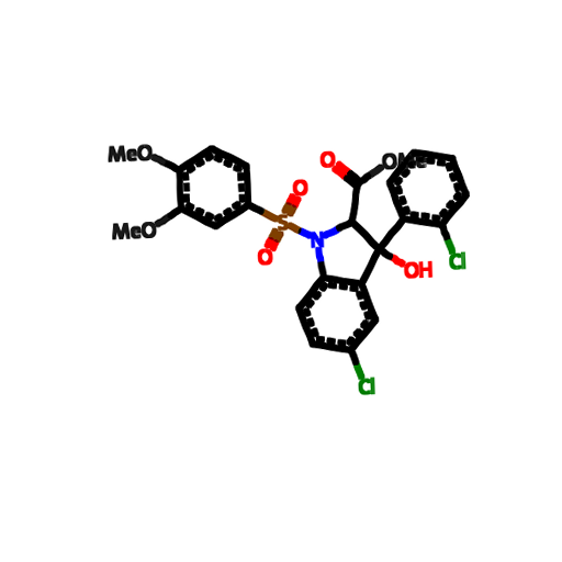 COC(=O)C1N(S(=O)(=O)c2ccc(OC)c(OC)c2)c2ccc(Cl)cc2C1(O)c1ccccc1Cl